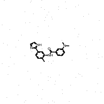 Cc1ccc(-c2ncc[nH]2)cc1NC(=O)c1cccc(N(C)C)c1